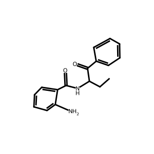 CCC(NC(=O)c1ccccc1N)C(=O)c1ccccc1